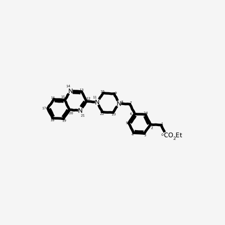 CCOC(=O)Cc1cccc(CN2CCN(c3cnc4ccccc4n3)CC2)c1